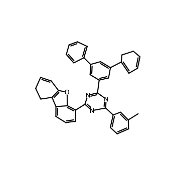 Cc1cccc(-c2nc(-c3cc(C4=CC=CCC4)cc(-c4ccccc4)c3)nc(-c3cccc4c5c(oc34)C=CCC5)n2)c1